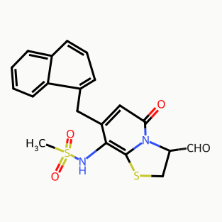 CS(=O)(=O)Nc1c(Cc2cccc3ccccc23)cc(=O)n2c1SCC2C=O